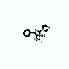 Nc1[nH]c(-n2ccnc2)nc1-c1ccccc1